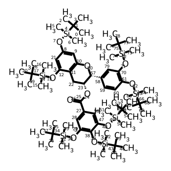 CC(C)(C)[Si](C)(C)Oc1cc2c(c(O[Si](C)(C)C(C)(C)C)c1)C[C@@H](OC(=O)c1cc(O[Si](C)(C)C(C)(C)C)c(O[Si](C)(C)C(C)(C)C)c(O[Si](C)(C)C(C)(C)C)c1)[C@@H](c1ccc(O[Si](C)(C)C(C)(C)C)c(O[Si](C)(C)C(C)(C)C)c1)O2